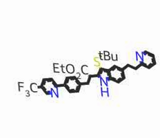 CCOC(=O)C(Cc1ccc(-c2ccc(C(F)(F)F)cn2)cc1)c1[nH]c2ccc(CCc3ccccn3)cc2c1SC(C)(C)C